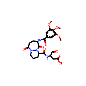 COc1cc(C(=O)NC2CCC(=O)N3CCCC(C(=O)NC(C=O)CC(=O)O)N3C2=O)cc(OC)c1OC